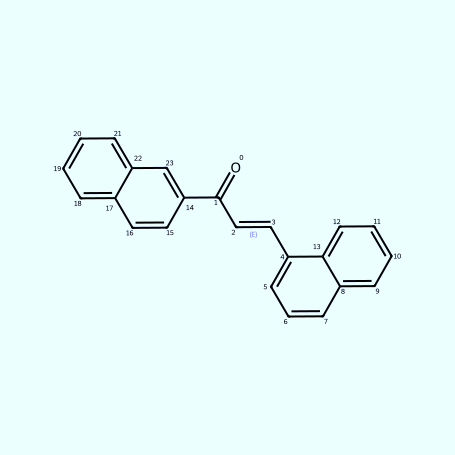 O=C(/C=C/c1cccc2ccccc12)c1ccc2ccccc2c1